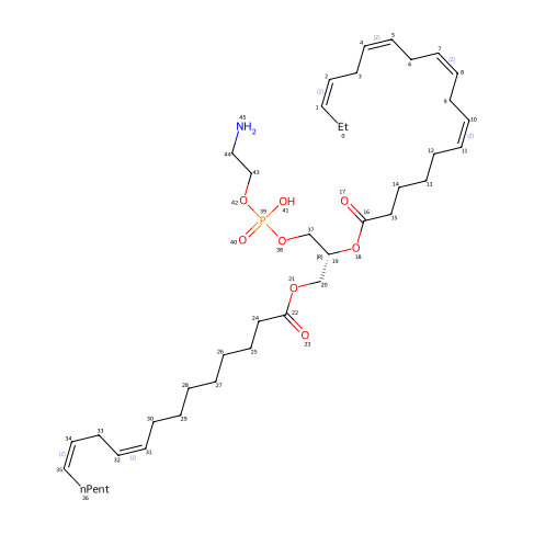 CC/C=C\C/C=C\C/C=C\C/C=C\CCCCC(=O)O[C@H](COC(=O)CCCCCCC/C=C\C/C=C\CCCCC)COP(=O)(O)OCCN